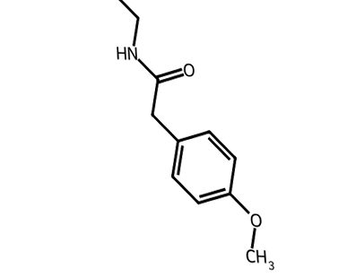 [CH]CNC(=O)Cc1ccc(OC)cc1